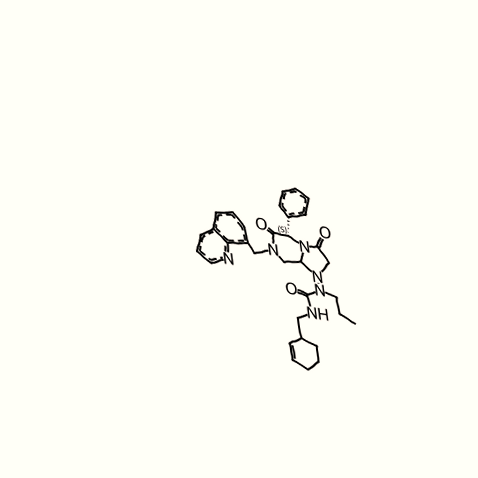 CCCN(C(=O)NCC1C=CCCC1)N1CC(=O)N2C1CN(Cc1cccc3cccnc13)C(=O)[C@@H]2c1ccccc1